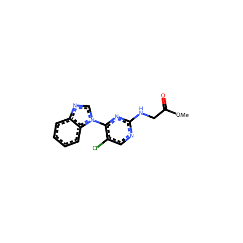 COC(=O)CNc1ncc(Cl)c(-n2cnc3ccccc32)n1